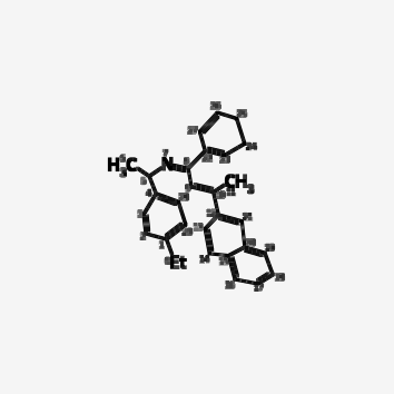 CCc1ccc(C(C)/N=C(\C=C(/C)c2ccc3ccccc3c2)C2=CCCC=C2)cc1